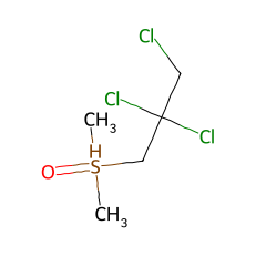 C[SH](C)(=O)CC(Cl)(Cl)CCl